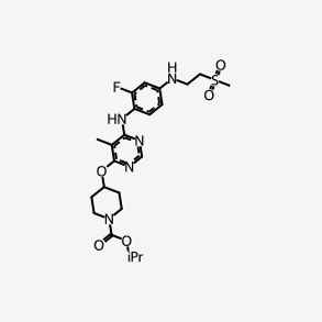 Cc1c(Nc2ccc(NCCS(C)(=O)=O)cc2F)ncnc1OC1CCN(C(=O)OC(C)C)CC1